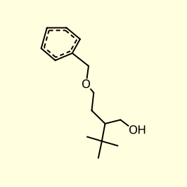 CC(C)(C)C(CO)CCOCc1ccccc1